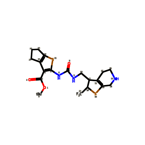 CC(C)(C)OC(=O)c1c(NC(=O)NCC2C3=C(CNCC3)SC2C(F)(F)F)sc2c1CCC2